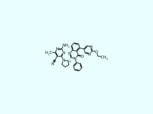 CCOc1ncc(-c2cccc3nc([C@@H]4CCCN4c4nc(N)nc(C)c4C#N)n(-c4ccccc4)c(=O)c23)cn1